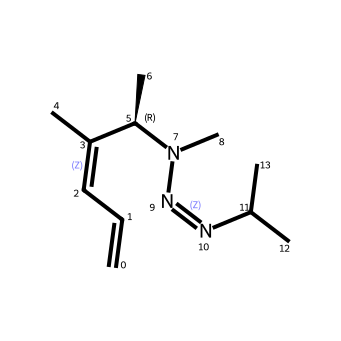 C=C/C=C(/C)[C@@H](C)N(C)/N=N\C(C)C